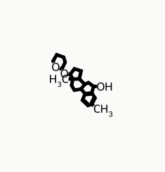 Cc1ccc2c(c1)C(O)CC1C2CCC2(C)C(OC3CCCCO3)CCC12